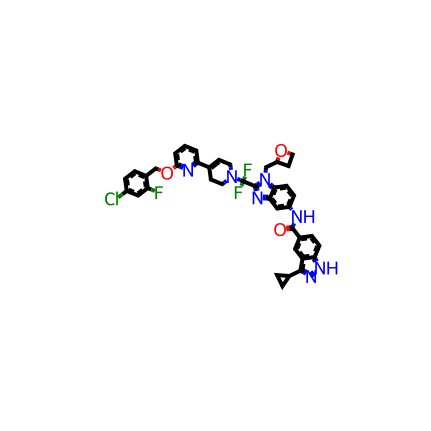 O=C(Nc1ccc2c(c1)nc(C(F)(F)N1CC=C(c3cccc(OCc4ccc(Cl)cc4F)n3)CC1)n2CC1CCO1)c1ccc2[nH]nc(C3CC3)c2c1